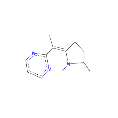 C/C(=C1\CCC(C)N1C)c1ncccn1